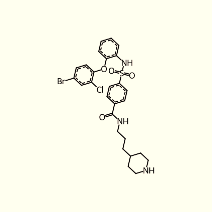 O=C(NCCCC1CCNCC1)c1ccc(S(=O)(=O)Nc2ccccc2Oc2ccc(Br)cc2Cl)cc1